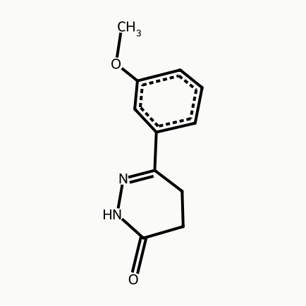 COc1cccc(C2=NNC(=O)CC2)c1